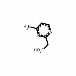 Nc1ccnc(CC(=O)O)n1